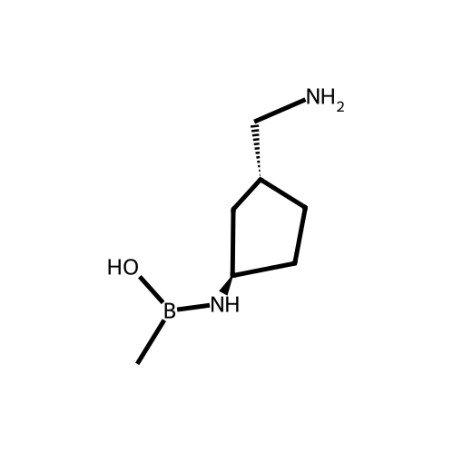 CB(O)N[C@@H]1CC[C@@H](CN)C1